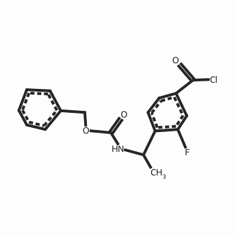 CC(NC(=O)OCc1ccccc1)c1ccc(C(=O)Cl)cc1F